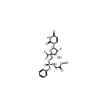 CC(C)OC(=O)[C@H](C)NP(=O)(OC[C@@]1(C(F)F)O[C@@H](n2ccc(=O)[nH]c2=O)[C@H](F)[C@@H]1O)Oc1ccccc1